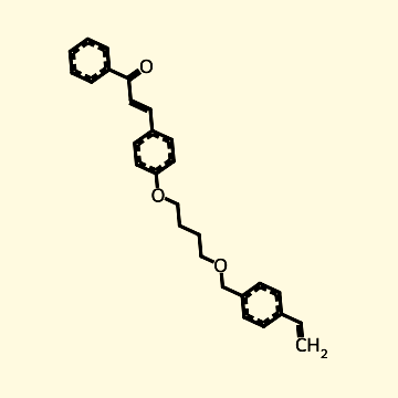 C=Cc1ccc(COCCCCOc2ccc(/C=C/C(=O)c3ccccc3)cc2)cc1